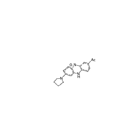 CC(=O)c1ccc(Nc2cccc(N3CCCC3)c2)c([N+](=O)[O-])c1